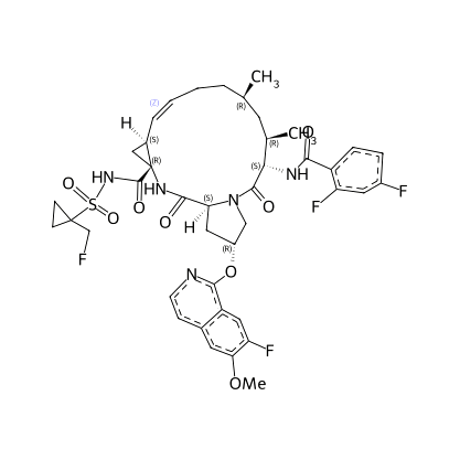 COc1cc2ccnc(O[C@@H]3C[C@H]4C(=O)N[C@]5(C(=O)NS(=O)(=O)C6(CF)CC6)C[C@H]5/C=C\CC[C@@H](C)C[C@@H](C)[C@H](NC(=O)c5ccc(F)cc5F)C(=O)N4C3)c2cc1F